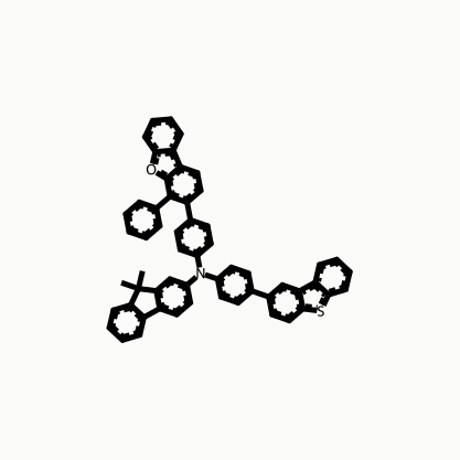 CC1(C)c2ccccc2-c2ccc(N(c3ccc(-c4ccc5sc6ccccc6c5c4)cc3)c3ccc(-c4ccc5c(oc6ccccc65)c4-c4ccccc4)cc3)cc21